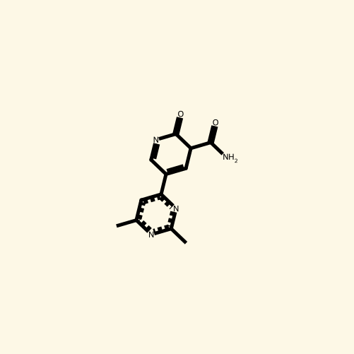 Cc1cc(C2=CC(C(N)=O)C(=O)N=C2)nc(C)n1